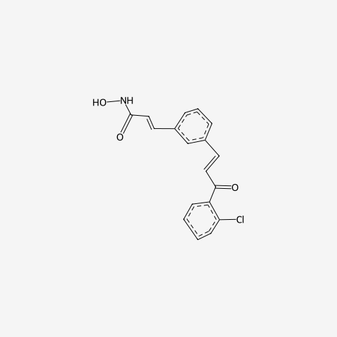 O=C(/C=C/c1cccc(/C=C/C(=O)c2ccccc2Cl)c1)NO